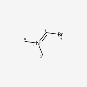 C[N+](C)=CBr